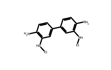 CCNc1cc(-c2ccc(N)c(NCC)c2)ccc1N